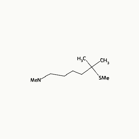 CNCCCCC(C)(C)SC